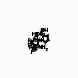 N[C@H](C(=O)N1CCC[C@H]1B(O)O)C(C(F)(F)F)C(F)(F)F